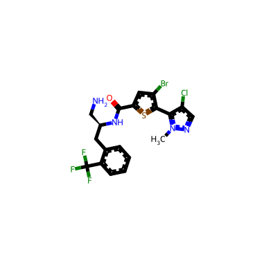 Cn1ncc(Cl)c1-c1sc(C(=O)N[C@H](CN)Cc2ccccc2C(F)(F)F)cc1Br